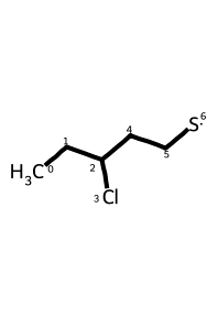 CCC(Cl)CC[S]